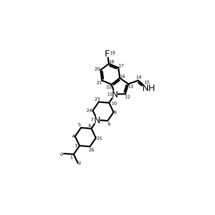 CC(C)C1CCC(N2CCC(n3cc(C=N)c4cc(F)ccc43)CC2)CC1